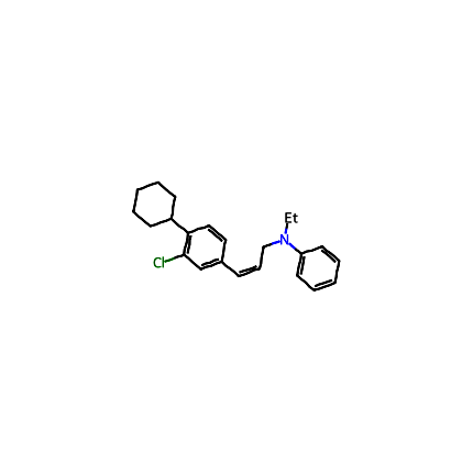 CCN(C/C=C\c1ccc(C2CCCCC2)c(Cl)c1)c1ccccc1